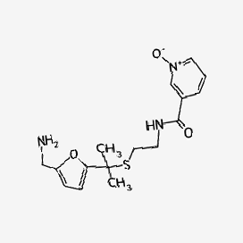 CC(C)(SCCNC(=O)c1ccc[n+]([O-])c1)c1ccc(CN)o1